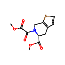 COC(=O)C(=O)N1Cc2sccc2CC1C(=O)OC